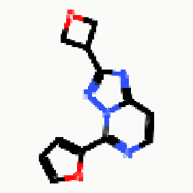 c1coc(-c2nccc3nc(C4COC4)nn23)c1